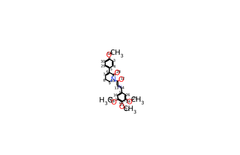 COc1ccc(C2=CCCN(C(=O)/C=C/c3cc(OC)c(OC)c(OC)c3)C2=O)cc1